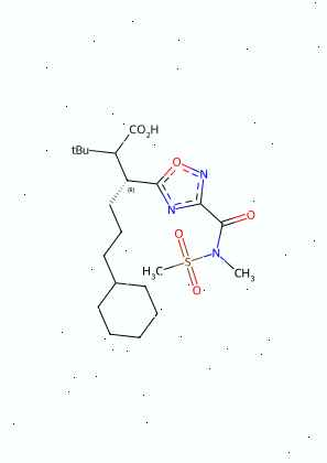 CN(C(=O)c1noc([C@H](CCCC2CCCCC2)C(C(=O)O)C(C)(C)C)n1)S(C)(=O)=O